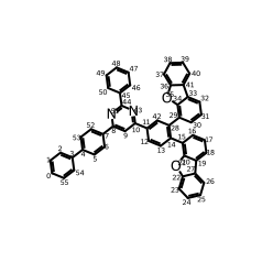 c1ccc(-c2ccc(-c3cc(-c4ccc(-c5cccc6c5oc5ccccc56)c(-c5cccc6c5oc5ccccc56)c4)nc(-c4ccccc4)n3)cc2)cc1